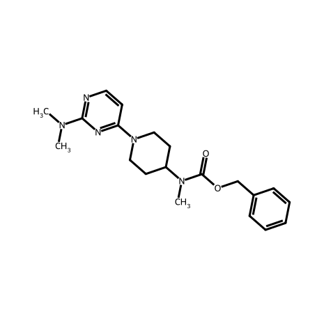 CN(C)c1nccc(N2CCC(N(C)C(=O)OCc3ccccc3)CC2)n1